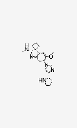 CNC1=Nc2cc(-n3cnc([C@@H]4CCCN4)c3)c(OC)cc2C12CCC2